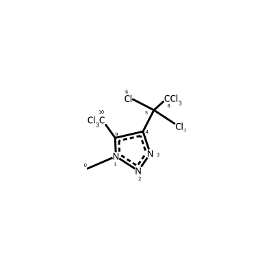 Cn1nnc(C(Cl)(Cl)C(Cl)(Cl)Cl)c1C(Cl)(Cl)Cl